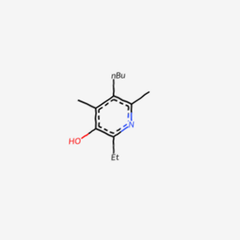 CCCCc1c(C)nc(CC)c(O)c1C